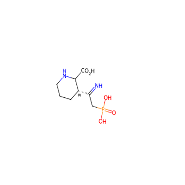 N=C(CP(=O)(O)O)[C@@H]1CCCNC1C(=O)O